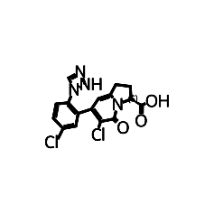 O=C(O)[C@@H]1CCc2cc(-c3cc(Cl)ccc3-n3cn[nH]3)c(Cl)c(=O)n21